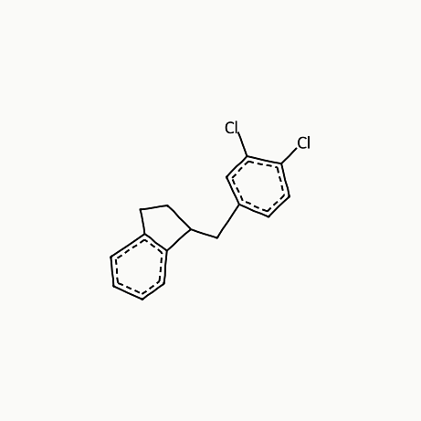 Clc1ccc(CC2CCc3ccccc32)cc1Cl